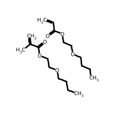 C=C(C)C(=O)OCCOCCCC.C=CC(=O)OCCOCCCC